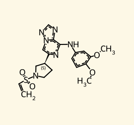 C=CS(=O)(=O)N1CC[C@H](c2cn3ncnc3c(Nc3ccc(OC)c(OC)c3)n2)C1